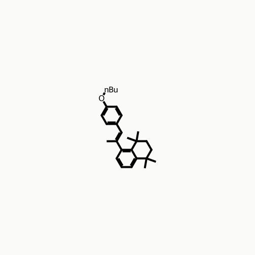 CCCCOc1ccc(C=C(C)c2cccc3c2C(C)(C)CCC3(C)C)cc1